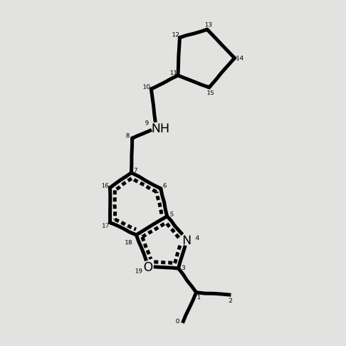 CC(C)c1nc2cc(CNCC3CCCC3)ccc2o1